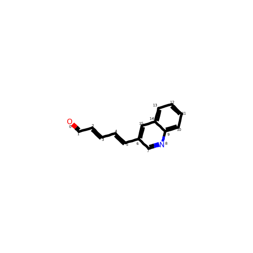 O=CC=CC=Cc1cnc2ccccc2c1